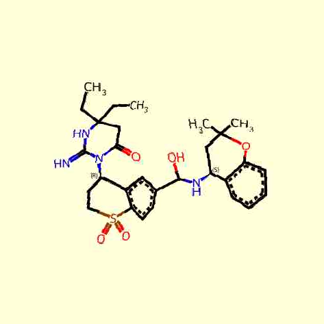 CCC1(CC)CC(=O)N([C@@H]2CCS(=O)(=O)c3ccc(C(O)N[C@H]4CC(C)(C)Oc5ccccc54)cc32)C(=N)N1